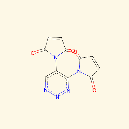 O=C1C=CC(=O)N1c1cnnnc1N1C(=O)C=CC1=O